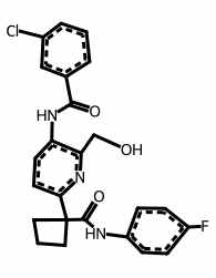 O=C(Nc1ccc(C2(C(=O)Nc3ccc(F)cc3)CCC2)nc1CO)c1cccc(Cl)c1